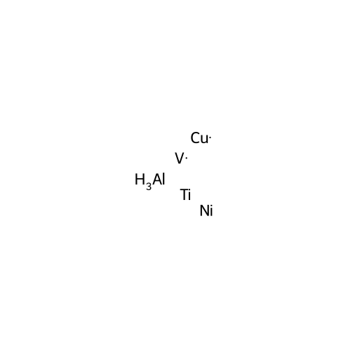 [AlH3].[Cu].[Ni].[Ti].[V]